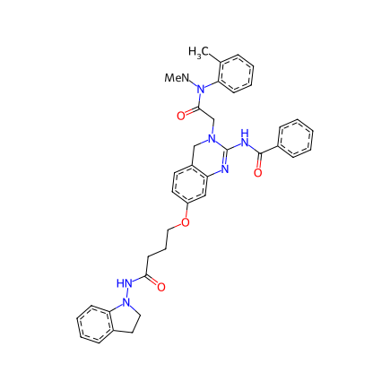 CNN(C(=O)CN1Cc2ccc(OCCCC(=O)NN3CCc4ccccc43)cc2N=C1NC(=O)c1ccccc1)c1ccccc1C